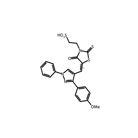 COc1ccc(-c2nn(-c3ccccc3)cc2/C=C2/SC(=S)N(CCS(=O)(=O)O)C2=O)cc1